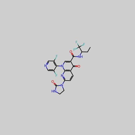 CCC(NC(=O)c1cn(-c2c(F)cncc2F)c2nc(N3CCNC3=O)ccc2c1=O)C(F)(F)F